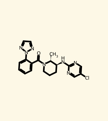 C[C@@H]1[C@@H](Nc2ncc(Cl)cn2)CCCN1C(=O)c1ccccc1-n1nccn1